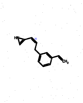 C=Cc1cccc(C/C=C\C2=CN2)c1